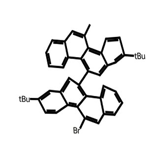 Cc1cc2ccccc2c2c(-c3cc4cc(C(C)(C)C)ccc4c4c(Br)cc5ccccc5c34)cc3cc(C(C)(C)C)ccc3c12